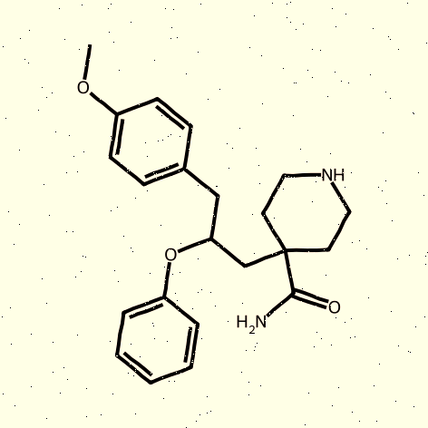 COc1ccc(CC(CC2(C(N)=O)CCNCC2)Oc2ccccc2)cc1